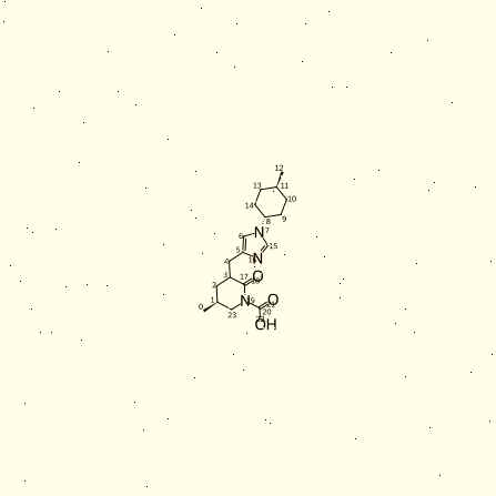 C[C@H]1CC(Cc2cn([C@H]3CC[C@H](C)CC3)cn2)C(=O)N(C(=O)O)C1